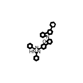 C1=CCCC(c2ccc3c(c2)c2ccccc2n3-c2cccc3c2oc2cc(C4=NC(c5ccccc5)NC(c5ccccc5)=N4)ccc23)=C1